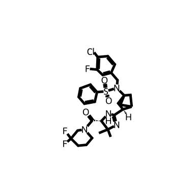 CC1(C)N=C([C@H]2CC3(N(Cc4ccc(Cl)c(F)c4)S(=O)(=O)c4ccccc4)CC2C3)N[C@H]1C(=O)N1CCCC(F)(F)C1